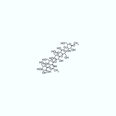 CO[C@@H]1OC(CO)[C@@H](O[C@@H]2OC(CO)[C@H](O[C@H]3OC(CO)[C@H](O)[C@H](O[C@@H]4OC(CO)[C@H](O)C(O[C@@H]5OC(CO)[C@H](O)C(O)[C@@H]5O)[C@@H]4NC(C)=O)C3O)C(O)[C@@H]2O)C(O)C1O